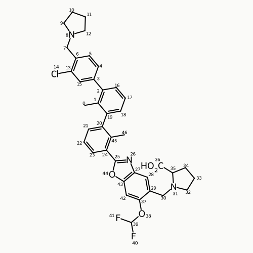 Cc1c(-c2ccc(CN3CCCC3)c(Cl)c2)cccc1-c1cccc(-c2nc3cc(CN4CCCC4C(=O)O)c(OC(F)F)cc3o2)c1C